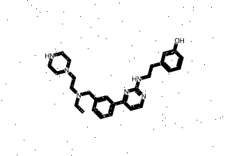 CCN(CCN1CCNCC1)Cc1cccc(-c2ccnc(NCCc3cccc(O)c3)n2)c1